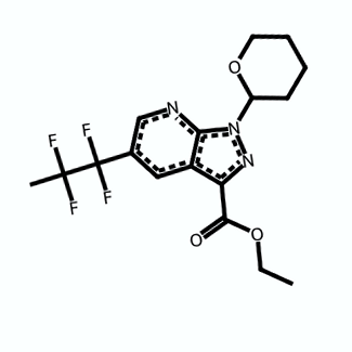 CCOC(=O)c1nn(C2CCCCO2)c2ncc(C(F)(F)C(C)(F)F)cc12